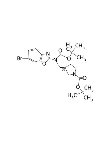 CC(C)(C)OC(=O)N1CC[C@H](CN(C(=O)OC(C)(C)C)c2nc3ccc(Br)cc3o2)C1